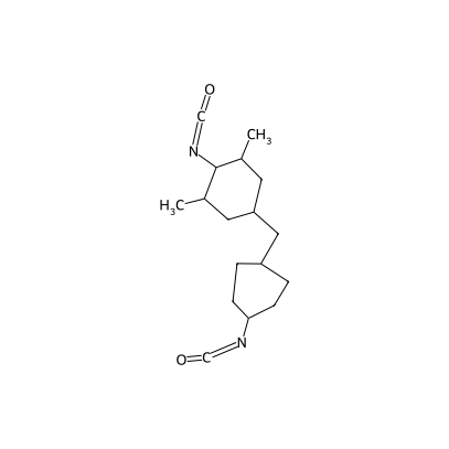 CC1CC(CC2CCC(N=C=O)CC2)CC(C)C1N=C=O